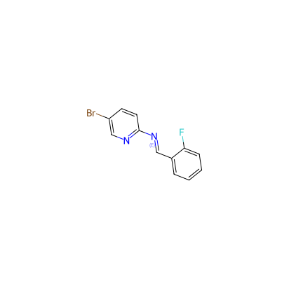 Fc1ccccc1/C=N/c1ccc(Br)cn1